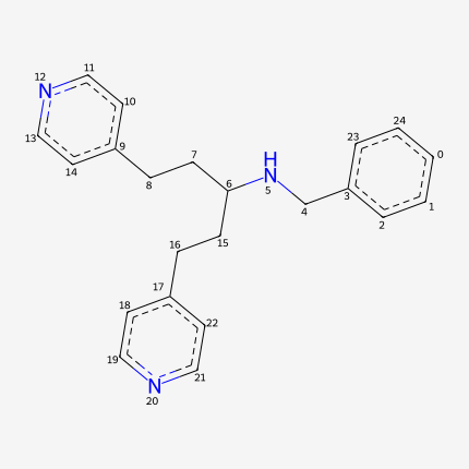 c1ccc(CNC(CCc2ccncc2)CCc2ccncc2)cc1